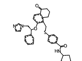 O=C(NC1CCCC1)c1ccc(SCc2c(O[C@H](Cn3ccnc3)c3ccccc3)ccc3c2CCCC3=O)cc1